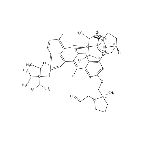 C=CCN1CCC[C@]1(C)COc1nc(N2C[C@H]3CC[C@@H](C2)N3)c2cc(F)c(-c3cc(O[Si](C(C)C)(C(C)C)C(C)C)cc4ccc(F)c(C#C[Si](C(C)C)(C(C)C)C(C)C)c34)c(F)c2n1